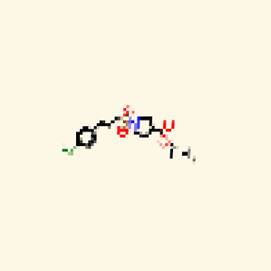 CCOC(=O)C1CCN(S(=O)(=O)CC=Cc2ccc(Br)cc2)CC1